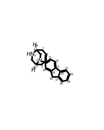 C1=CC[C@H]2CN[C@@H](C1)CN2c1ccc2c(c1)Cc1ccccc1-2